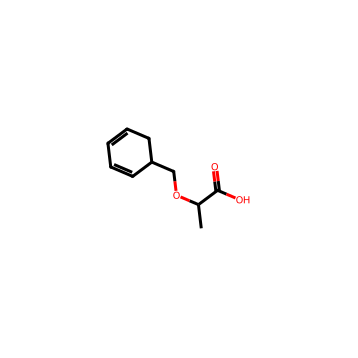 CC(OCC1C=CC=CC1)C(=O)O